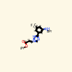 CC(C)Nc1cc(-c2ncn(C=CC(=O)OC(C)C)n2)cc(C(F)(F)F)c1